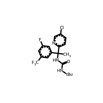 CC(C)(C)NC(=O)NC(C)(c1cc(F)cc(C(F)(F)F)c1)c1ccc(Cl)cn1